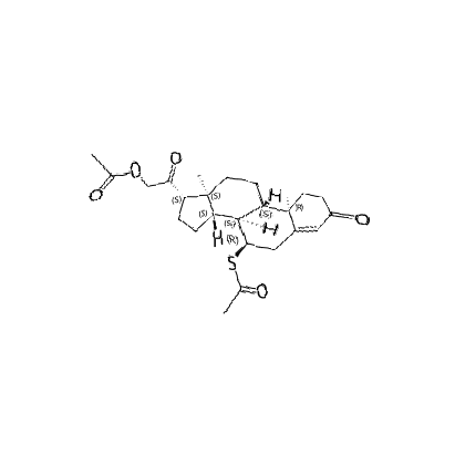 CC(=O)OCC(=O)[C@H]1CC[C@H]2[C@@H]3[C@H](SC(C)=O)CC4=CC(=O)CC[C@]4(C)[C@H]3CC[C@]12C